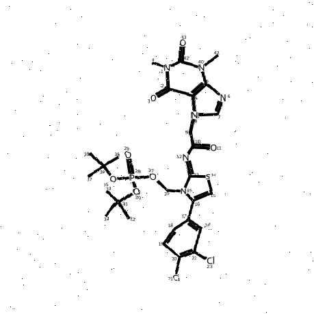 Cn1c(=O)c2c(ncn2CC(=O)N=c2scc(-c3ccc(Cl)c(Cl)c3)n2COP(=O)(OC(C)(C)C)OC(C)(C)C)n(C)c1=O